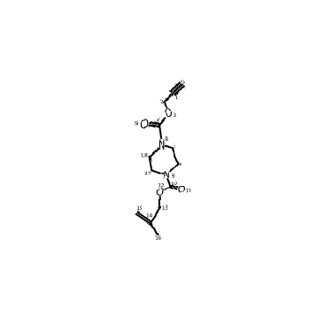 C#CCOC(=O)N1CCN(C(=O)OCC(=C)C)CC1